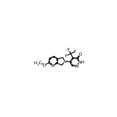 COc1ccc2c(n1)CN(c1cn[nH]c(=O)c1C(F)(F)F)C2